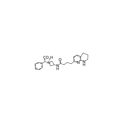 O=C(CCCc1ccc2c(n1)NCCC2)NC1CN([C@H](C(=O)O)c2ccccc2)C1